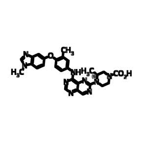 Cc1cc(Nc2ncnc3cnc(N4CCN(C(=O)O)C[C@@H]4C)nc23)ccc1Oc1ccc2c(c1)ncn2C